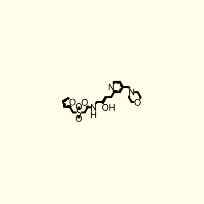 O=C(CS(=O)(=O)Cc1ccco1)NCC(O)=CCc1cc(CN2CCOCC2)ccn1